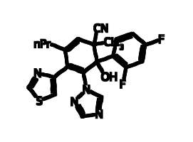 CCCC1=CC(C)(C#N)C(O)(c2ccc(F)cc2F)C(n2cncn2)=C1c1cscn1